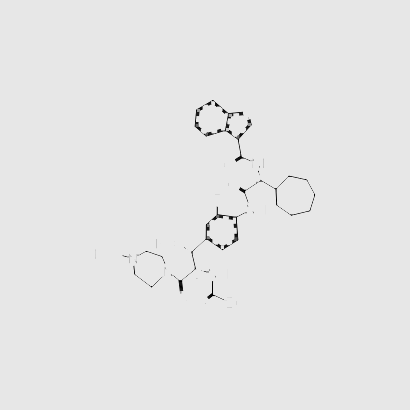 CCC(=O)N[C@@H](C(=O)N1CCN(C)CC1)[C@@H](C)c1ccc(NC(=O)[C@@H](NC(=O)c2csc3ccccc23)C2CCCCCC2)c(F)c1